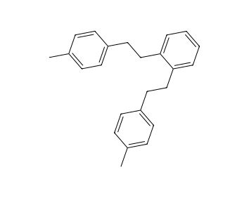 Cc1ccc(CCc2ccccc2CCc2ccc(C)cc2)cc1